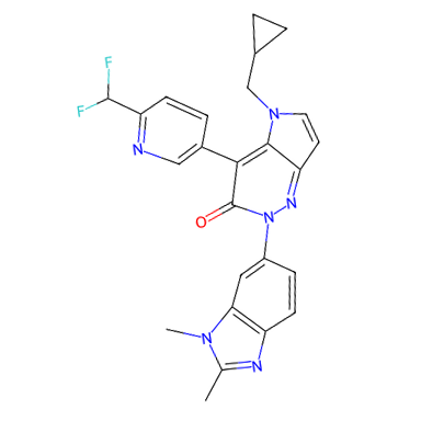 Cc1nc2ccc(-n3nc4ccn(CC5CC5)c4c(-c4ccc(C(F)F)nc4)c3=O)cc2n1C